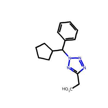 O=C(O)Cc1nnn(C(c2ccccc2)C2CCCC2)n1